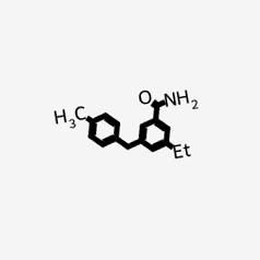 CCc1cc(Cc2ccc(C)cc2)cc(C(N)=O)c1